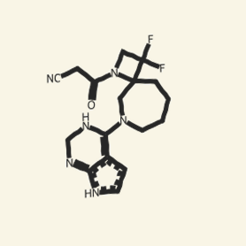 N#CCC(=O)N1CC(F)(F)C12CCCCN(C1=c3cc[nH]c3=NCN1)C2